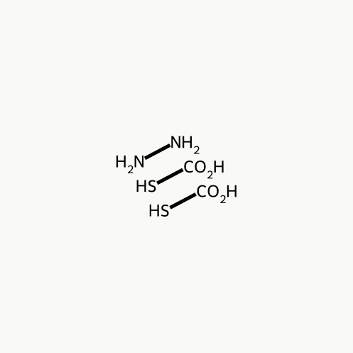 NN.O=C(O)S.O=C(O)S